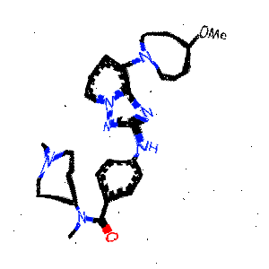 COC1CCN(c2cccn3nc(Nc4ccc(C(=O)N(C)C5CCN(C)CC5)cc4)nc23)CC1